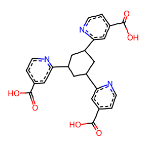 O=C(O)c1ccnc(C2CC(c3cc(C(=O)O)ccn3)CC(c3cc(C(=O)O)ccn3)C2)c1